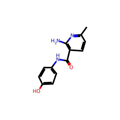 Cc1ccc(C(=O)Nc2ccc(O)cc2)c(N)n1